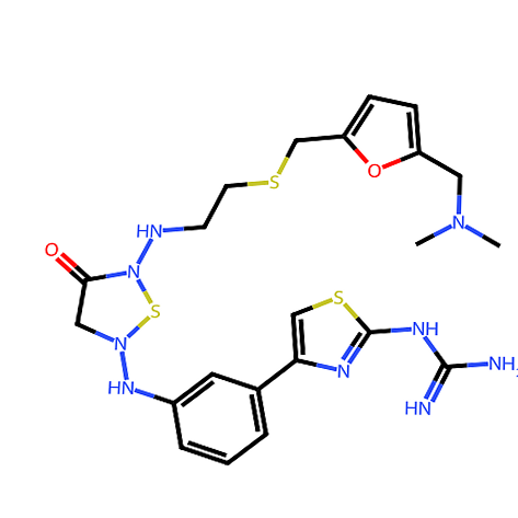 CN(C)Cc1ccc(CSCCNN2SN(Nc3cccc(-c4csc(NC(=N)N)n4)c3)CC2=O)o1